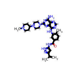 C=C(C)c1cc(NC(=O)c2ccc(C)c(Nc3ncnc4c(N)nc(N5CCN(C6CCN(C)CC6)CC5)nc34)c2)[nH]n1